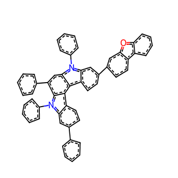 c1ccc(-c2ccc3c4c5c6ccc(-c7ccc8c(c7)oc7ccccc78)cc6n(-c6ccccc6)c5cc(-c5ccccc5)c4n(-c4ccccc4)c3c2)cc1